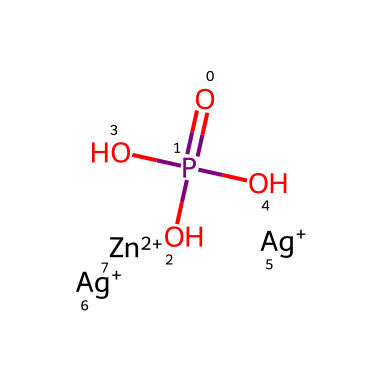 O=P(O)(O)O.[Ag+].[Ag+].[Zn+2]